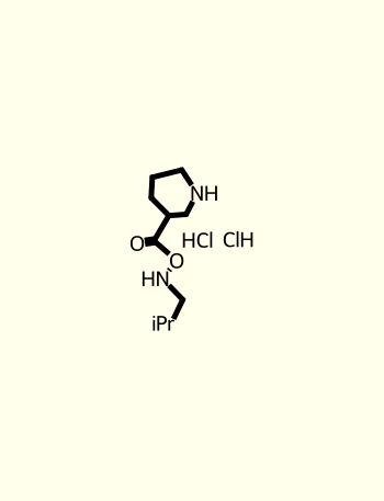 CC(C)CNOC(=O)C1CCCNC1.Cl.Cl